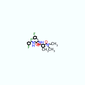 CCCN(CCC)C(=O)c1cc(C)cc(C(=O)N[C@@H](Cc2cc(F)cc(F)c2)[C@H](O)CNCc2cccc(F)c2)c1